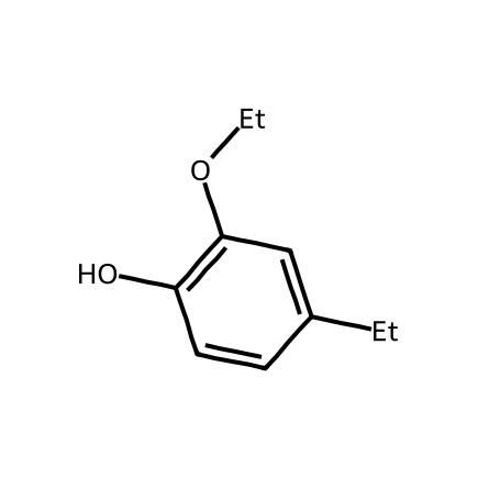 CCOc1cc(CC)ccc1O